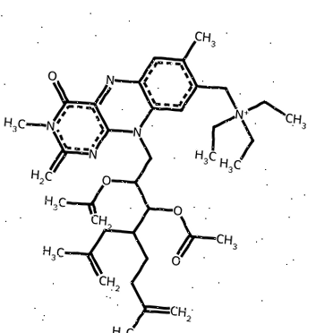 C=C(C)CCC(CC(=C)C)C(OC(C)=O)C(CN1c2cc(C[N+](CC)(CC)CC)c(C)cc2N=c2c1nc(=C)n(C)c2=O)OC(=C)C